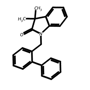 CC1(C)C(=O)N(Cc2ccccc2-c2ccccc2)c2ccccc21